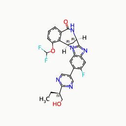 CC[C@H](CO)c1ncc(-c2cc3c(cc2F)nc2n3[C@@H]3C[C@H]2NC(=O)c2cccc(OC(F)F)c23)cn1